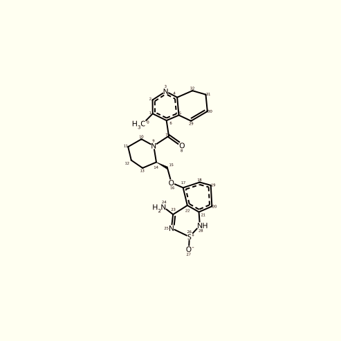 Cc1cnc2c(c1C(=O)N1CCCC[C@@H]1COc1cccc3c1C(N)=N[S+]([O-])N3)C=CCC2